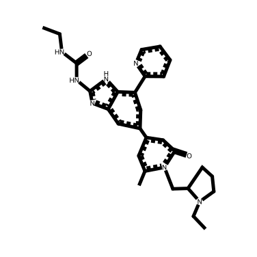 CCNC(=O)Nc1nc2cc(-c3cc(C)n(CC4CCCN4CC)c(=O)c3)cc(-c3ccccn3)c2[nH]1